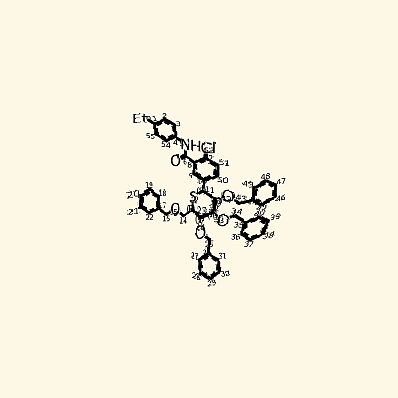 CCc1ccc(NC(=O)c2cc([C@@H]3S[C@H](COCc4ccccc4)[C@@H](OCc4ccccc4)[C@H](OCc4ccccc4)[C@H]3OCc3ccccc3)ccc2Cl)cc1